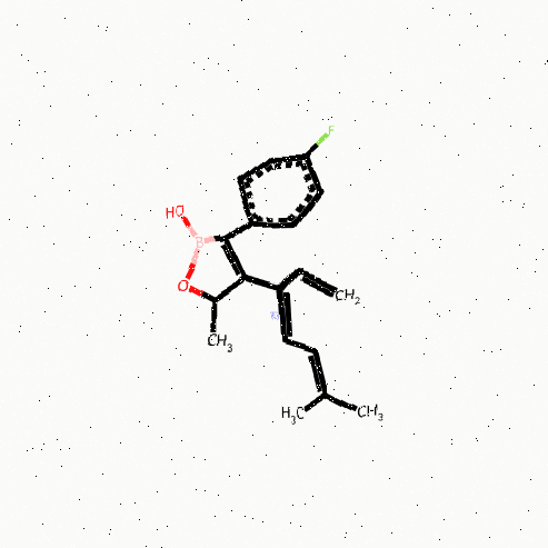 C=C/C(=C\C=C(C)C)C1=C(c2ccc(F)cc2)B(O)OC1C